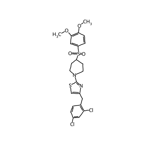 COc1ccc(S(=O)(=O)C2CCN(c3nc(Cc4ccc(Cl)cc4Cl)cs3)CC2)cc1OC